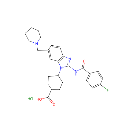 Cl.O=C(Nc1nc2ccc(CN3CCCCC3)cc2n1C1CCC(C(=O)O)CC1)c1ccc(F)cc1